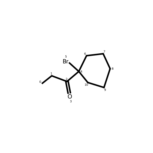 CCC(=O)C1(Br)CCCCC1